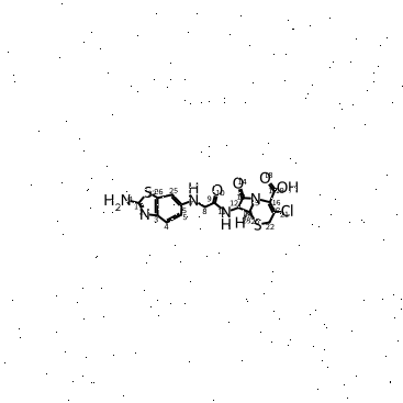 Nc1nc2ccc(NCC(=O)NC3C(=O)N4C(C(=O)O)=C(Cl)CS[C@@H]34)cc2s1